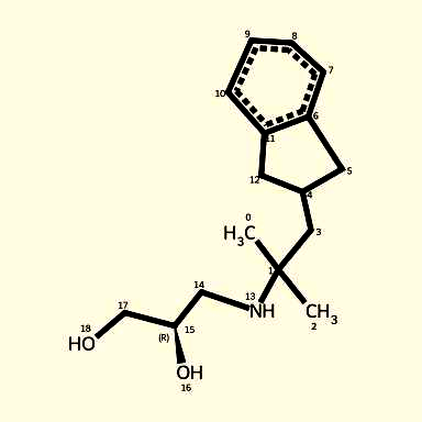 CC(C)(CC1Cc2ccccc2C1)NC[C@@H](O)CO